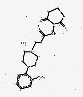 COc1ccccc1N1CCN(CCC(=O)NN2C(=O)CCCC2=O)CC1.Cl